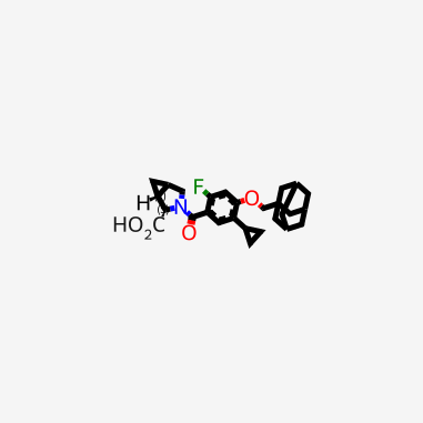 O=C(O)[C@@H]1[C@@H]2CC2CN1C(=O)c1cc(C2CC2)c(OCC23CC4CC(CC(C4)C2)C3)cc1F